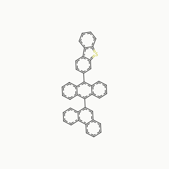 c1ccc2c(c1)cc(-c1c3ccccc3c(-c3ccc4c(c3)sc3ccccc34)c3ccccc13)c1ccccc12